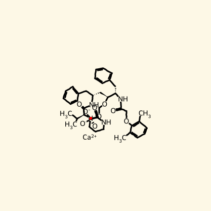 Cc1cccc(C)c1OCC(=O)N[C@@H](Cc1ccccc1)[C@H](C[C@@H](Cc1ccccc1)NC(=O)[C@H](C(C)C)N1CCCNC1=O)OCOP(=O)([O-])[O-].[Ca+2]